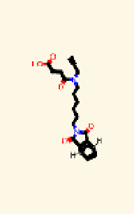 C#CCN(CCCCCCN1C(=O)C2C(C1=O)[C@H]1C=C[C@@H]2C1)C(=O)CCC(=O)O